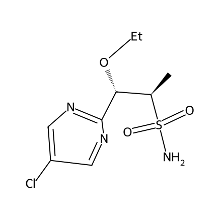 CCO[C@@H](c1ncc(Cl)cn1)[C@@H](C)S(N)(=O)=O